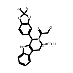 [2H]C1([2H])Oc2ccc(C3c4[nH]c5ccccc5c4C[C@H](C(=O)O)N3C(=O)CCl)cc2O1